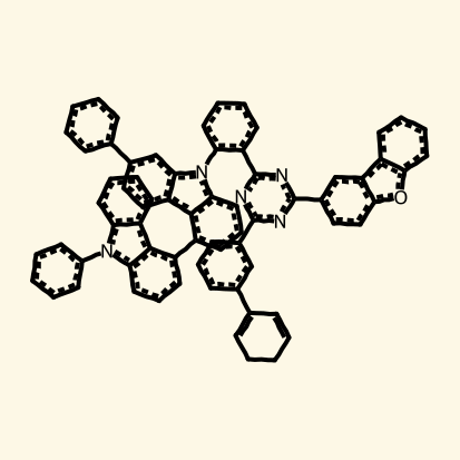 C1=CC(c2cccc(-c3nc(-c4ccc5oc6ccccc6c5c4)nc(-c4ccccc4-n4c5cc(-c6ccccc6)ccc5c5c(-c6cccc7c6c6ccccc6n7-c6ccccc6)cccc54)n3)c2)=CCC1